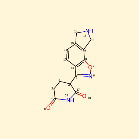 O=C1CCC(c2noc3c4c(ccc23)CNC4)C(=O)N1